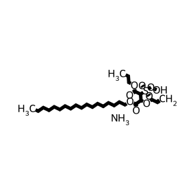 C=CCOC(C(=O)OCCCCCCCCCCCCCCCCCC)C(C(=O)OCCC)S(=O)(=O)OO.N